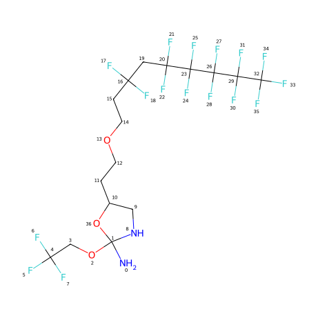 NC1(OCC(F)(F)F)NCC(CCOCCC(F)(F)CC(F)(F)C(F)(F)C(F)(F)C(F)(F)C(F)(F)F)O1